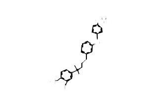 COc1ccc(Oc2cccc(CCCC(C)(C)c3ccc(Cl)c(Cl)c3)c2)cc1